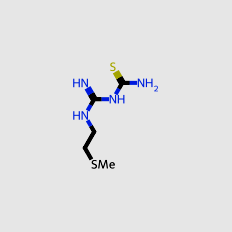 CSCCNC(=N)NC(N)=S